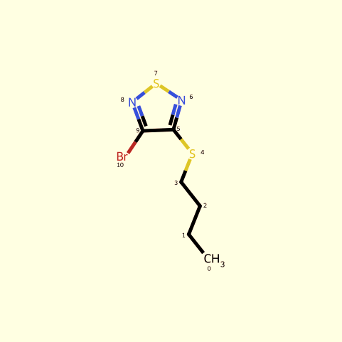 CCCCSc1nsnc1Br